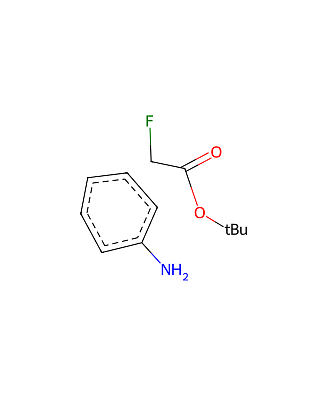 CC(C)(C)OC(=O)CF.Nc1ccccc1